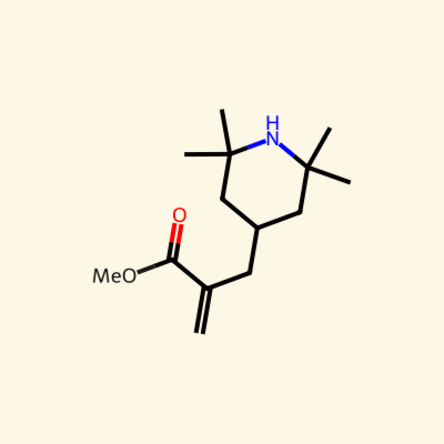 C=C(CC1CC(C)(C)NC(C)(C)C1)C(=O)OC